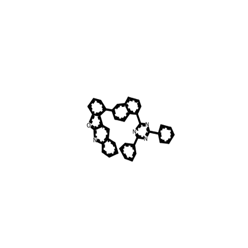 c1ccc(-c2nc(-c3ccccc3)nc(-c3cccc4cc(-c5cccc6oc7nc8ccccc8cc7c56)ccc34)n2)cc1